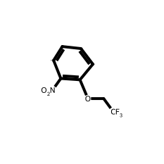 O=[N+]([O-])c1[c]cccc1OCC(F)(F)F